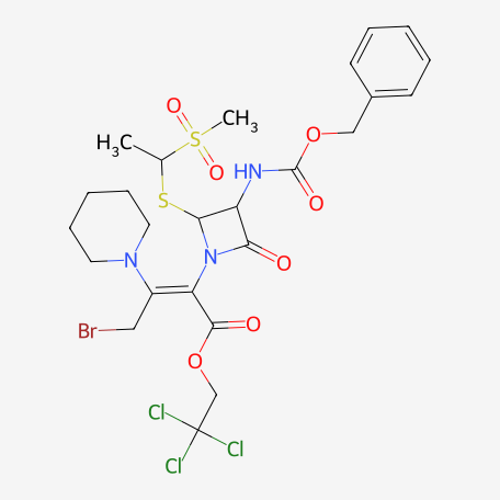 CC(SC1C(NC(=O)OCc2ccccc2)C(=O)N1/C(C(=O)OCC(Cl)(Cl)Cl)=C(/CBr)N1CCCCC1)S(C)(=O)=O